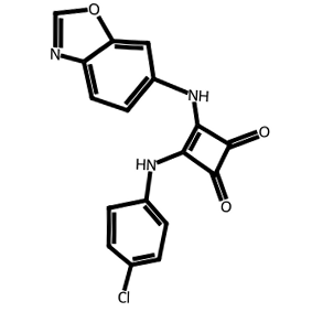 O=c1c(Nc2ccc(Cl)cc2)c(Nc2ccc3ncoc3c2)c1=O